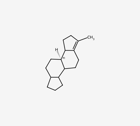 CC1=C2CCC3C4CCCC4CC[C@H]3C2CC1